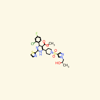 COC(=O)C1=C(C2CCN(S(=O)(=O)c3cnn(C[C@H](C)O)c3)CC2)NC(c2nccs2)=NC1c1ccc(F)cc1Cl